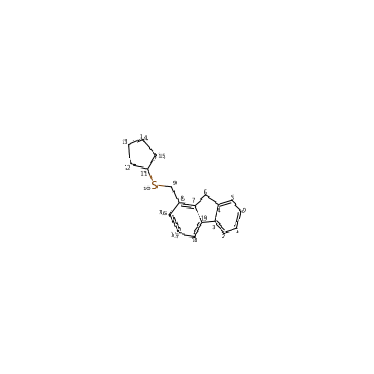 c1ccc2c(c1)Cc1c(CSC3CCCC3)cccc1-2